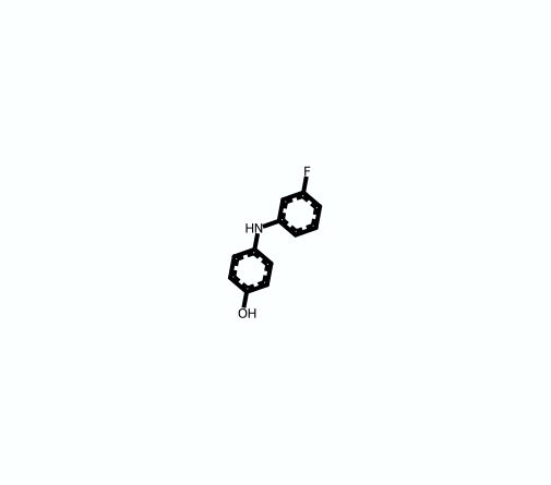 Oc1ccc(Nc2cccc(F)c2)cc1